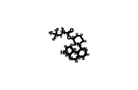 CN(CC(F)(F)F)C(=O)OC1CCCN(c2nccc3cnc4[nH]ccc4c23)C1